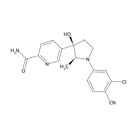 C[C@@H]1N(c2ccc(C#N)c(Cl)c2)CC[C@@]1(O)c1ccc(C(N)=O)nc1